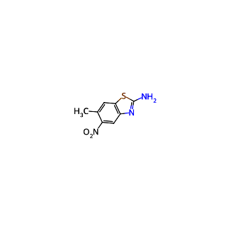 Cc1cc2sc(N)nc2cc1[N+](=O)[O-]